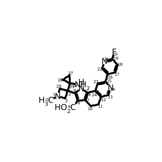 CN1CC(c2[nH]c3c(c2C(=O)O)CCc2cnc(-c4ccc(F)nc4)cc2-3)(C2(N)CC2)C1